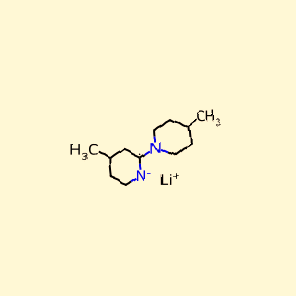 CC1CCN([C]2CC(C)CC[N-]2)CC1.[Li+]